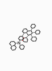 c1ccc(-c2c(-c3ccccc3)c(-c3ccccc3)c3c(-c4ccc(N(c5ccccc5)c5cccc6ccccc56)cc4)cccc3c2-c2ccccc2)cc1